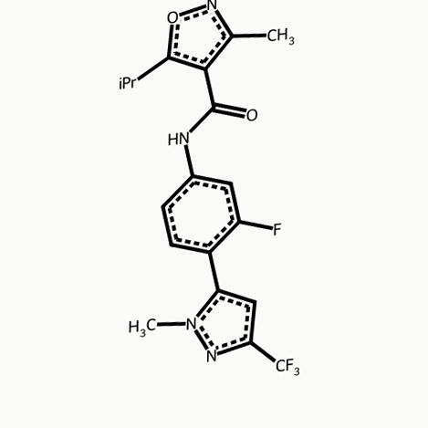 Cc1noc(C(C)C)c1C(=O)Nc1ccc(-c2cc(C(F)(F)F)nn2C)c(F)c1